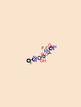 CC(COC1CCN(C2CCN(c3ncc(-c4ccccc4F)cn3)CC2O)C1=O)Nc1cn[nH]c(=O)c1C(F)(F)F